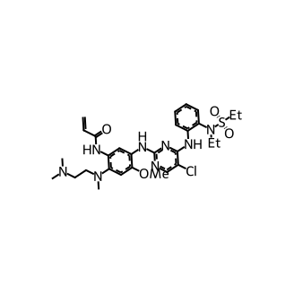 C=CC(=O)Nc1cc(Nc2ncc(Cl)c(Nc3ccccc3N(CC)S(=O)(=O)CC)n2)c(OC)cc1N(C)CCN(C)C